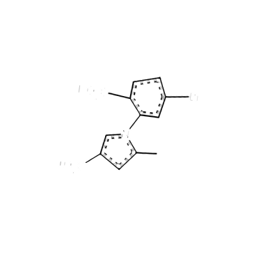 CCOC(=O)c1cc(C)n(-c2cc(Br)ccc2C(=O)O)c1